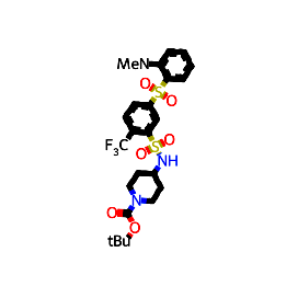 CNc1ccccc1S(=O)(=O)c1ccc(C(F)(F)F)c(S(=O)(=O)NC2CCN(C(=O)OC(C)(C)C)CC2)c1